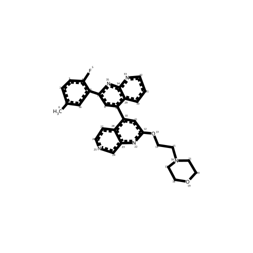 Cc1ccc(F)c(-c2cc(-c3cc(OCCN4CCOCC4)nc4cnccc34)c3cccnc3n2)c1